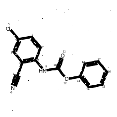 N#Cc1cc(Cl)ccc1NC(=O)Oc1ccccc1